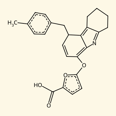 Cc1ccc(CC2C=CC(Oc3ccc(C(=O)O)o3)=C3N=C4CCCCC4=C32)cc1